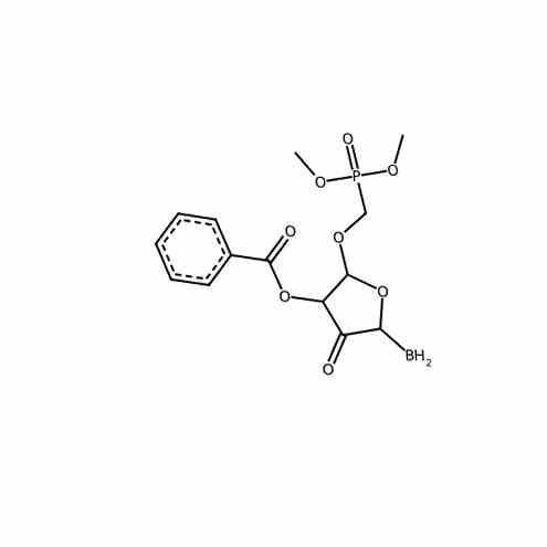 BC1OC(OCP(=O)(OC)OC)C(OC(=O)c2ccccc2)C1=O